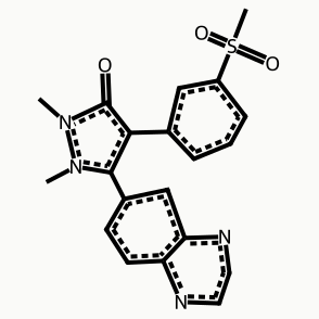 Cn1c(-c2ccc3nccnc3c2)c(-c2cccc(S(C)(=O)=O)c2)c(=O)n1C